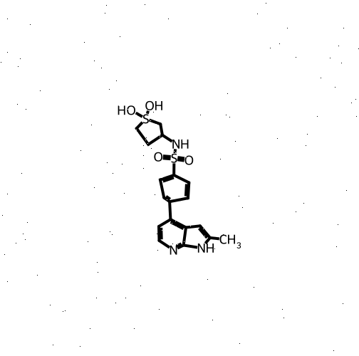 Cc1cc2c(-c3ccc(S(=O)(=O)NC4CCS(O)(O)C4)cc3)ccnc2[nH]1